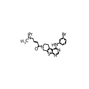 CC(C)N(C)CC=CC(=O)N1CCc2c(sc3ncnc(Nc4cccc(Br)c4)c23)C1